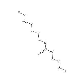 CCCCSC(=S)OCCCCOCC